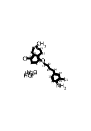 CN1CCc2c(Cl)ccc(OCCCCc3ccc(N)c(I)c3)c2CC1.Cl.Cl.O